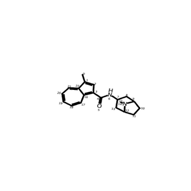 Cc1cc(C(=O)NC2CC3CCC(C2)N3C)c2cccccc1-2